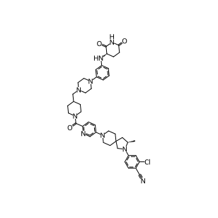 C[C@@H]1CC2(CCN(c3ccc(C(=O)N4CCC(CN5CCN(c6cccc(N[C@@H]7CCC(=O)NC7=O)c6)CC5)CC4)nc3)CC2)CN1c1ccc(C#N)c(Cl)c1